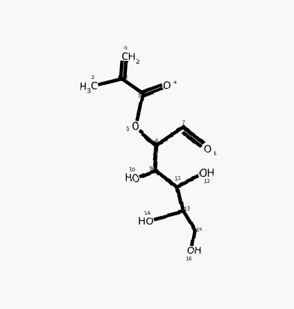 C=C(C)C(=O)OC(C=O)C(O)C(O)C(O)CO